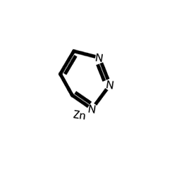 [Zn].c1cnnnc1